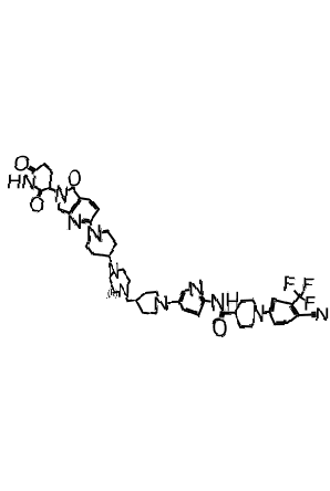 C[C@@H]1CN(C2CCN(c3ccc4c(n3)CN(C3CCC(=O)NC3=O)C4=O)CC2)CCN1CC1CCN(c2ccc(NC(=O)C3CCN(c4ccc(C#N)c(C(F)(F)F)c4)CC3)nc2)CC1